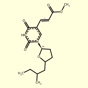 CCC(C)CC1CC[C@H](n2cc(/C=C/C(=O)OC)c(=O)[nH]c2=O)O1